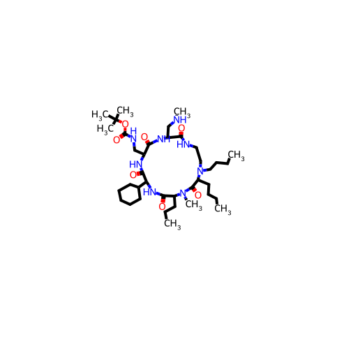 CCCCC1C(=O)N(C)C(CCC)C(=O)NC(C2CCCCC2)C(=O)NC(CNC(=O)OC(C)(C)C)C(=O)NC(CNC)C(=O)NCCN1CCCC